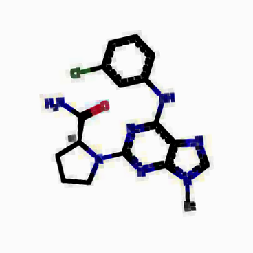 CCn1cnc2c(Nc3cccc(Cl)c3)nc(N3CCC[C@H]3C(N)=O)nc21